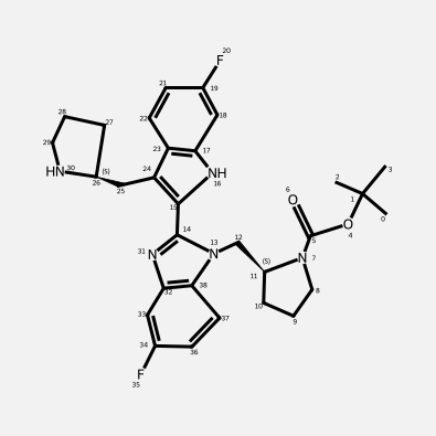 CC(C)(C)OC(=O)N1CCC[C@H]1Cn1c(-c2[nH]c3cc(F)ccc3c2C[C@@H]2CCCN2)nc2cc(F)ccc21